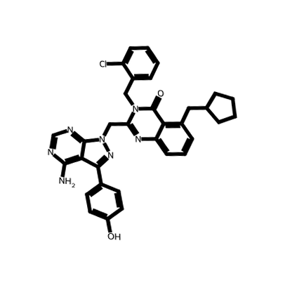 Nc1ncnc2c1c(-c1ccc(O)cc1)nn2Cc1nc2cccc(CC3CCCC3)c2c(=O)n1Cc1ccccc1Cl